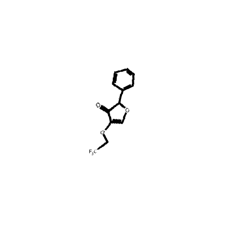 O=C1C(OCC(F)(F)F)=COC1c1ccccc1